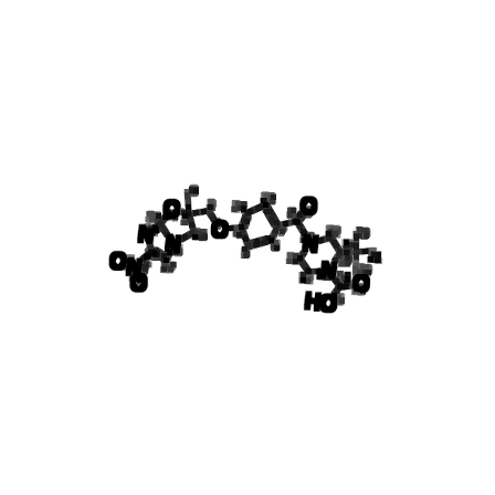 CC1(COc2ccc(C(=O)N3CCN(C(=O)O)C(C(C)(C)C)C3)cc2)Cn2cc([N+](=O)[O-])nc2O1